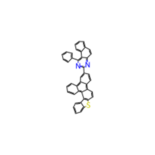 c1ccc(-c2nc(-c3ccc4c(c3)c3ccccc3c3c4ccc4sc5ccccc5c43)nc3ccc4ccccc4c23)cc1